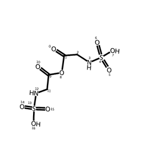 O=C(CNS(=O)(=O)O)OC(=O)CNS(=O)(=O)O